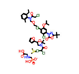 CC(C)Oc1cc(-n2nc(C(C)(C)C)oc2=O)c(Cl)cc1Cl.CC1(C)OC(c2ccco2)CN1C(=O)C(Cl)Cl.CCOCN(C(=O)CCl)c1c(C)cccc1CC.C[S+](C)C.O=C(O)CNCP(=O)([O-])O